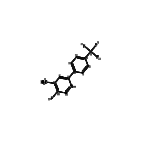 Cc1cc(-c2ccc(C(F)(F)F)cc2)ncc1F